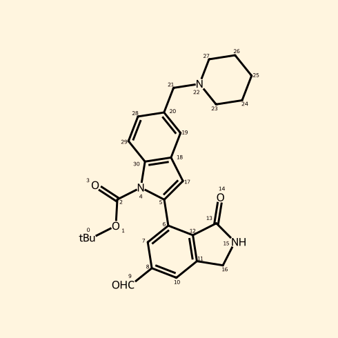 CC(C)(C)OC(=O)n1c(-c2cc(C=O)cc3c2C(=O)NC3)cc2cc(CN3CCCCC3)ccc21